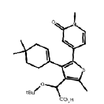 Cc1sc(-c2ccn(C)c(=O)c2)c(C2=CCC(C)(C)CC2)c1C(OC(C)(C)C)C(=O)O